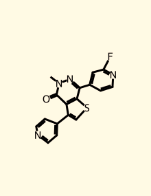 Cn1nc(-c2ccnc(F)c2)c2scc(-c3ccncc3)c2c1=O